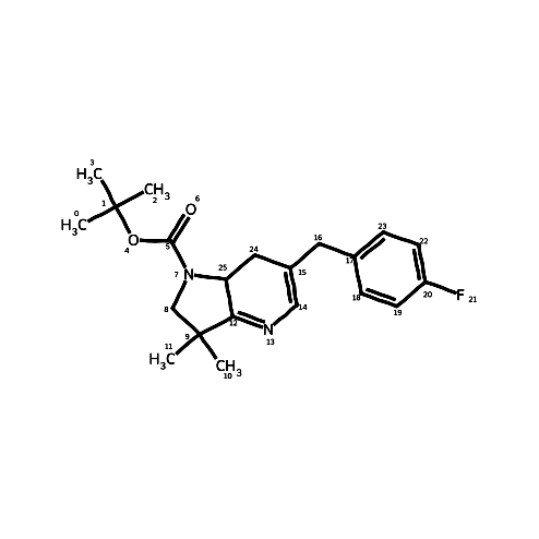 CC(C)(C)OC(=O)N1CC(C)(C)C2=NC=C(Cc3ccc(F)cc3)CC21